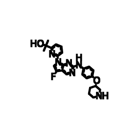 CC(C)(O)c1cccc(-n2cc(F)c3cnc(Nc4ccc(O[C@@H]5CCCNC5)cc4)nc32)n1